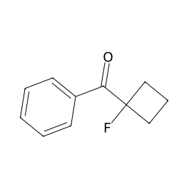 O=C(c1ccccc1)C1(F)CCC1